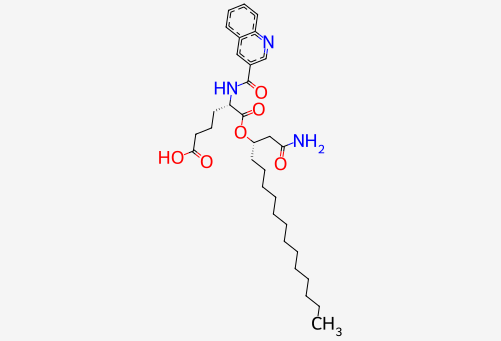 CCCCCCCCCCCCC[C@@H](CC(N)=O)OC(=O)[C@H](CCCC(=O)O)NC(=O)c1cnc2ccccc2c1